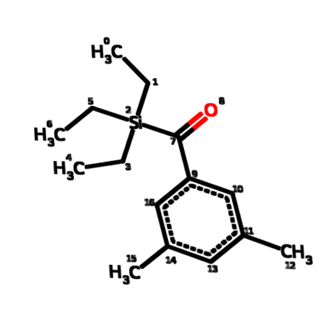 CC[Si](CC)(CC)C(=O)c1cc(C)cc(C)c1